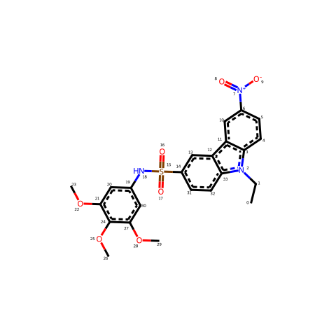 CCn1c2ccc([N+](=O)[O-])cc2c2cc(S(=O)(=O)Nc3cc(OC)c(OC)c(OC)c3)ccc21